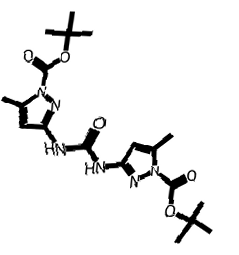 Cc1cc(NC(=O)Nc2cc(C)n(C(=O)OC(C)(C)C)n2)nn1C(=O)OC(C)(C)C